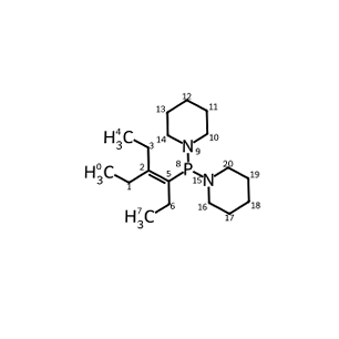 CCC(CC)=C(CC)P(N1CCCCC1)N1CCCCC1